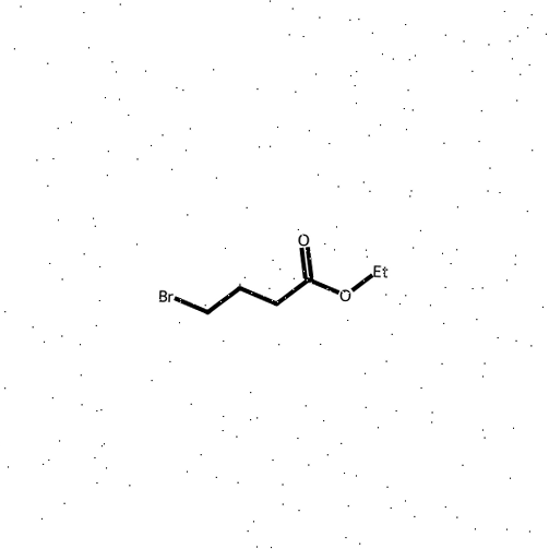 CCOC(=O)C[CH]CBr